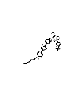 CCCCCCCOc1ccc(-c2cnc(-c3ccc(C[C@H](NC(=O)c4ccc(C(C)(C)C)s4)C(C)=O)cc3)nc2)cc1